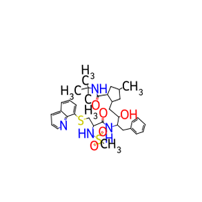 CC1CC(CC(O)C(Cc2ccccc2)NC(=O)C(CSc2cccc3cccnc23)NS(C)(=O)=O)C(C(=O)NC(C)(C)C)C1